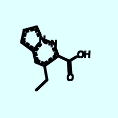 CCc1cc2cccn2nc1C(=O)O